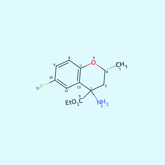 CCOC(=O)C1(N)C[C@@H](C)Oc2ccc(F)cc21